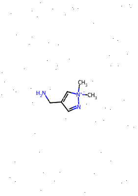 C[N+]1(C)C=C(CN)C=N1